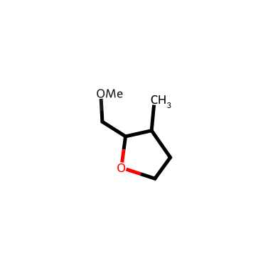 COCC1OCCC1C